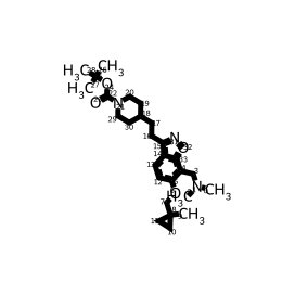 CN(C)Cc1c(OCC2(C)CC2)ccc2c(CCC3CCN(C(=O)OC(C)(C)C)CC3)noc12